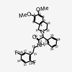 COc1cc2c(cc1OC)CN(C(C(=O)NCCc1cc(F)ccc1F)c1ccccc1)CC2